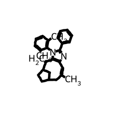 C=C1c2c(nc(-c3ccccc3)n2-c2c(C)cccc2C)/C=C(/C)CC2CCC1C2